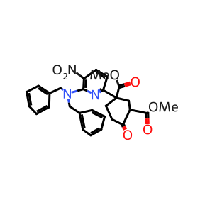 COC(=O)C1CC(C(=O)OC)(c2ccc([N+](=O)[O-])c(N(Cc3ccccc3)Cc3ccccc3)n2)CCC1=O